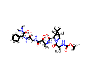 C=C(OC(=O)N[C@H](C(=O)N1C[C@@H]2[C@H]([C@H]1C(=O)NC(CCC)C(=O)C(=O)NCC(=O)N[C@H](C(=O)N(C)C)c1ccccc1)C2(C)C)C(C)(C)C)C(C)C